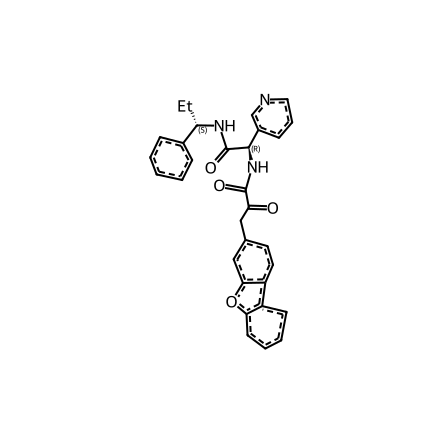 CC[C@H](NC(=O)[C@H](NC(=O)C(=O)Cc1ccc2c(c1)oc1ccccc12)c1cccnc1)c1ccccc1